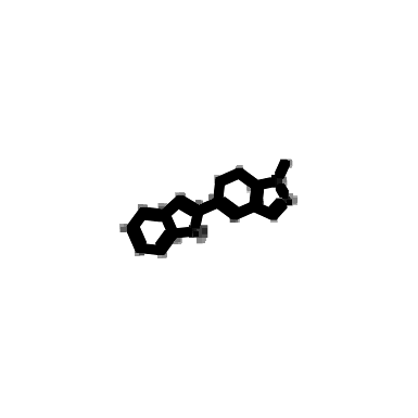 Cn1ncc2c1CCC(c1cc3ccccc3[nH]1)=C2